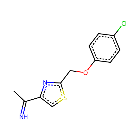 CC(=N)c1csc(COc2ccc(Cl)cc2)n1